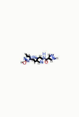 COc1nc(C)cc(-c2cc3cnc(NC(=O)c4cnn(C)c4)cc3[nH]2)n1